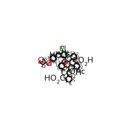 CC(=O)OC(Cc1ccccc1C(=O)O)C(c1ccccc1C(=O)O)C(c1ccccc1C(=O)O)C(C(=O)c1ccc(Cl)c(Cc2ccc(O[C@@H]3CCOC3)cc2)c1)c1ccccc1C(=O)O